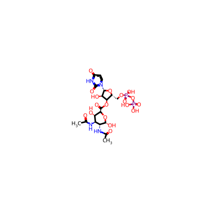 CC(=O)N[C@@H]1[C@@H](NC(C)=O)[C@H](O)[C@@H](C(=O)O[C@H]2[C@@H](O)[C@H](n3ccc(=O)[nH]c3=O)O[C@@H]2COP(=O)(O)OP(=O)(O)O)O[C@@H]1O